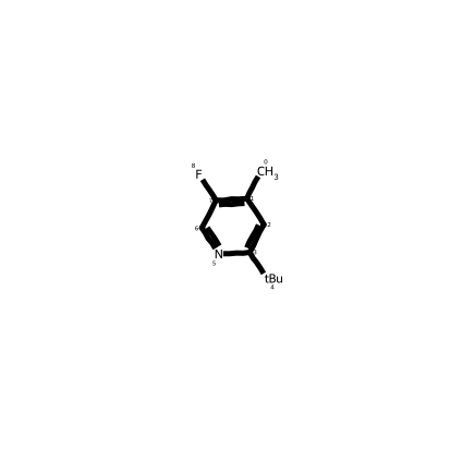 Cc1cc(C(C)(C)C)ncc1F